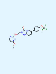 CCOc1ccnc(OCCn2nc3ccc(-c4ccc(OC(F)(F)F)cc4)cn3c2=O)n1